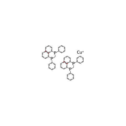 [Cu+].c1ccc(P(CP(c2ccccc2)c2ccccc2)c2ccccc2)cc1.c1ccc(P(CP(c2ccccc2)c2ccccc2)c2ccccc2)cc1